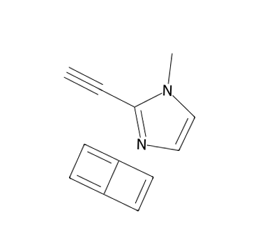 C#Cc1nccn1C.c1cc2ccc1-2